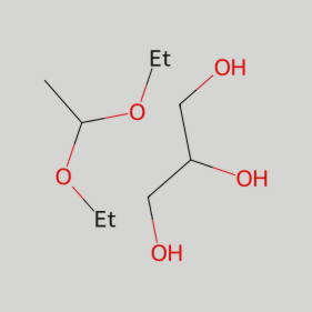 CCOC(C)OCC.OCC(O)CO